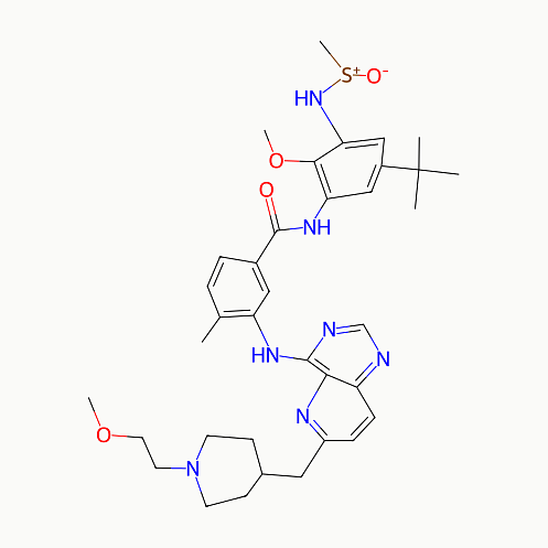 COCCN1CCC(Cc2ccc3ncnc(Nc4cc(C(=O)Nc5cc(C(C)(C)C)cc(N[S+](C)[O-])c5OC)ccc4C)c3n2)CC1